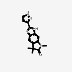 CN1C(=O)C(C)(C)c2cc3nc(-c4cc[nH]n4)[nH]c3cc21